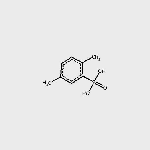 Cc1ccc(C)c(P(=O)(O)O)c1